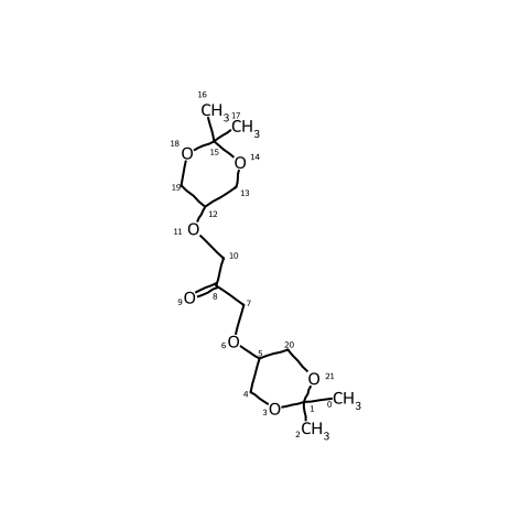 CC1(C)OCC(OCC(=O)COC2COC(C)(C)OC2)CO1